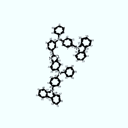 c1ccc(N(c2ccc(-n3c4ccccc4c4ccccc43)cc2)c2cccc(-c3nc4ccc(N(c5ccccc5)c5ccc(-n6c7ccccc7c7ccccc76)cc5)cc4o3)c2)cc1